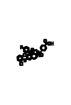 O=C(O)[C@H]1CC[C@H](C(=O)N2CC[C@@]3(S(=O)(=O)c4ccc(F)cc4)c4ccc(Sc5c(Cl)cccc5Cl)cc4CC[C@@H]23)CC1